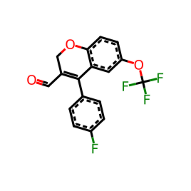 O=CC1=C(c2ccc(F)cc2)c2cc(OC(F)(F)F)ccc2OC1